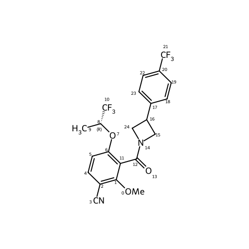 COc1c(C#N)ccc(O[C@H](C)C(F)(F)F)c1C(=O)N1CC(c2ccc(C(F)(F)F)cc2)C1